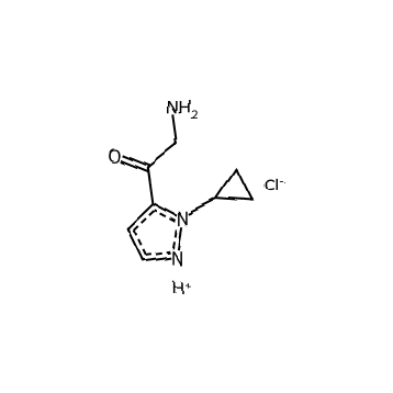 NCC(=O)c1ccnn1C1CC1.[Cl-].[H+]